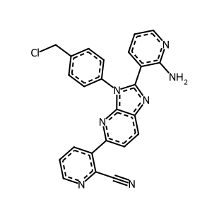 N#Cc1ncccc1-c1ccc2nc(-c3cccnc3N)n(-c3ccc(CCl)cc3)c2n1